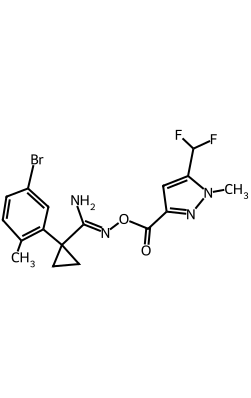 Cc1ccc(Br)cc1C1(C(N)=NOC(=O)c2cc(C(F)F)n(C)n2)CC1